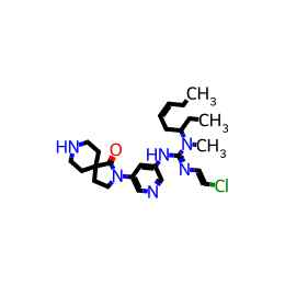 CC/C=C\CC(CC)N(C)/C(=N\C=C\Cl)Nc1cncc(N2CCC3(CCNCC3)C2=O)c1